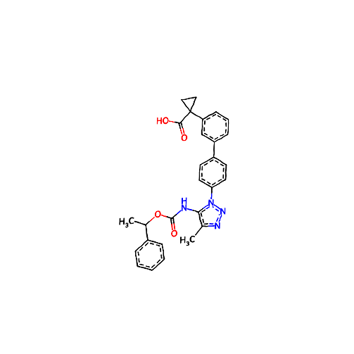 Cc1nnn(-c2ccc(-c3cccc(C4(C(=O)O)CC4)c3)cc2)c1NC(=O)OC(C)c1ccccc1